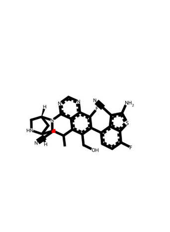 CC(CC#N)c1c(CO)c(-c2ccc(F)c3sc(N)c(C#N)c23)c(F)c2ncnc(N3C[C@H]4C[C@@H]3CN4)c12